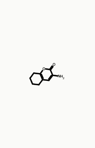 Nc1cc2c(oc1=O)CCCC2